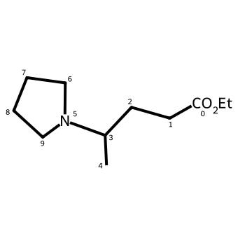 CCOC(=O)CCC(C)N1CCCC1